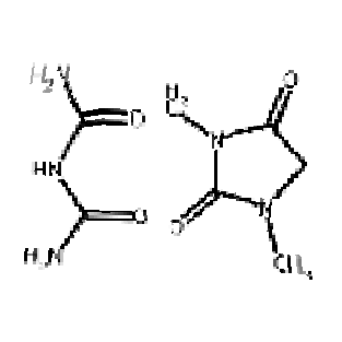 CN1CC(=O)N(C)C1=O.NC(=O)NC(N)=O